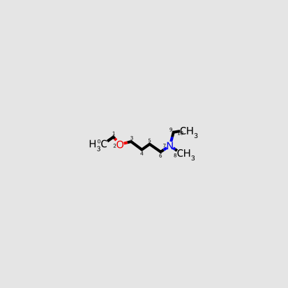 CCOCCCCN(C)CC